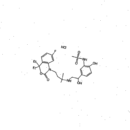 CCC1(CC)OC(=O)N(CCC(C)(C)NCC(O)c2ccc(O)c(NS(C)(=O)=O)c2)c2cc(F)ccc21.Cl